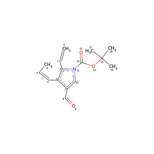 C=Cc1c(/C=C\C)c(C=O)cn1C(=O)OC(C)(C)C